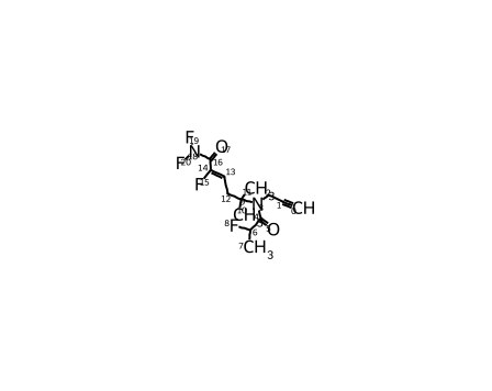 C#CCN(C(=O)C(C)F)C(C)(C)CC=C(F)C(=O)N(F)F